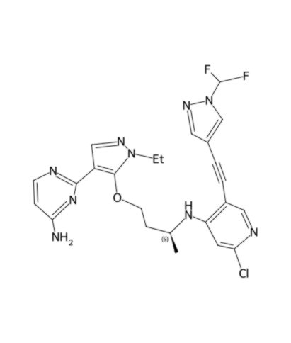 CCn1ncc(-c2nccc(N)n2)c1OCC[C@H](C)Nc1cc(Cl)ncc1C#Cc1cnn(C(F)F)c1